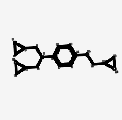 c1cc(N(CC2CO2)CC2CO2)ccc1OCC1CO1